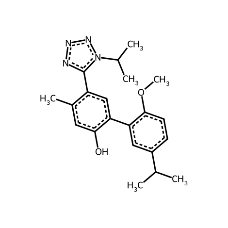 COc1ccc(C(C)C)cc1-c1cc(-c2nnnn2C(C)C)c(C)cc1O